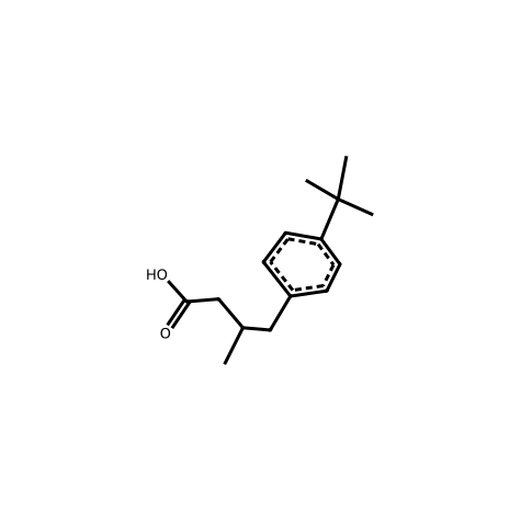 CC(CC(=O)O)Cc1ccc(C(C)(C)C)cc1